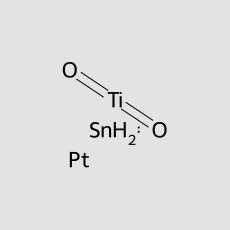 [O]=[Ti]=[O].[Pt].[SnH2]